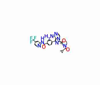 Nc1nccn2c([C@@H]3CN(C(=O)C4CC4)CCO3)nc(-c3ccc(C(=O)Nc4cc(C(F)(F)F)ccn4)cc3)c12